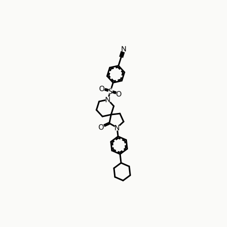 N#Cc1ccc(S(=O)(=O)N2CCCC3(CCN(c4ccc(C5CCCCC5)cc4)C3=O)C2)cc1